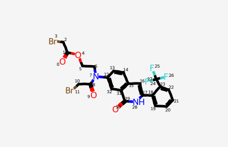 O=C(CBr)OCCN(C(=O)CBr)c1ccc2cc(-c3ccccc3C(F)(F)F)[nH]c(=O)c2c1